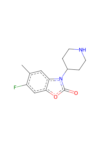 Cc1cc2c(cc1F)oc(=O)n2C1CCNCC1